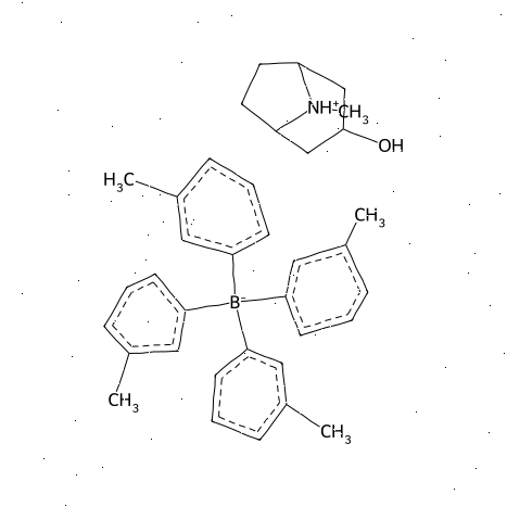 C[NH+]1C2CCC1CC(O)C2.Cc1cccc([B-](c2cccc(C)c2)(c2cccc(C)c2)c2cccc(C)c2)c1